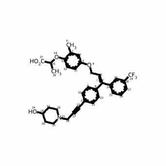 Cc1cc(OC/C=C(\c2ccc(C#CCN3CCC(O)CC3)cc2)c2cccc(C(F)(F)F)c2)ccc1OC(C)C(=O)O